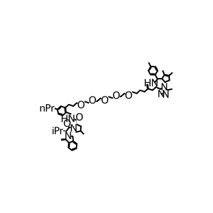 C=C(CCCCOCCOCCOCCOCCOCCCc1cc(CCC)ccc1CNC(=O)[C@@H]1CC(C)CN1C(=O)[C@H](C(C)C)N1Cc2ccccc2C1=C)CC1NC(c2ccc(C)cc2)C2C(C)=C(C)CC2n2c(C)nnc21